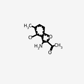 CC(=O)c1oc2ccc(C)c(Cl)c2c1N